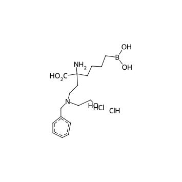 Cl.Cl.NC(CCCCB(O)O)(CCN(CCO)Cc1ccccc1)C(=O)O